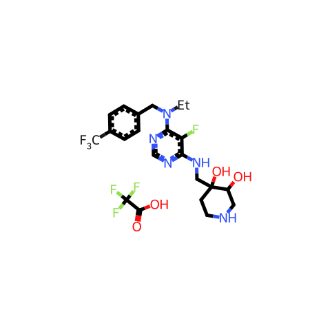 CCN(Cc1ccc(C(F)(F)F)cc1)c1ncnc(NCC2(O)CCNCC2O)c1F.O=C(O)C(F)(F)F